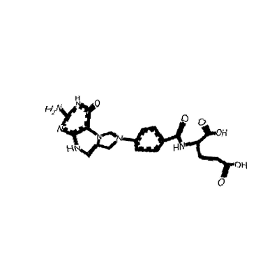 Nc1nc2c(c(=O)[nH]1)N1CN(c3ccc(C(=O)NC(CCC(=O)O)C(=O)O)cc3)CC1=CN2